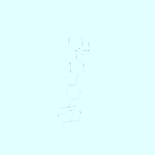 O=C1C2=Cc3cc(C45CC6CC(CC(C6)C4)C5)ccc3C2=CC=C1C12CC3CC(CC(C3)C1)C2